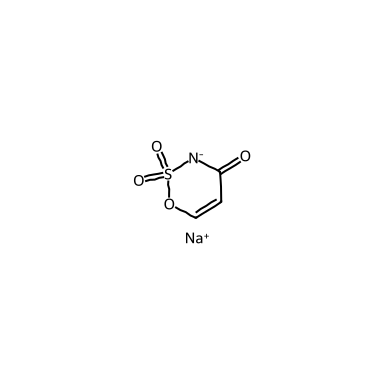 O=C1C=COS(=O)(=O)[N-]1.[Na+]